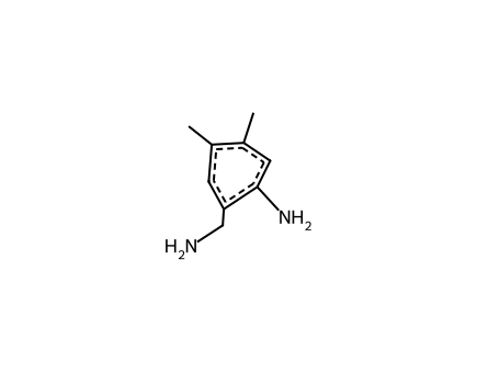 Cc1cc(N)c(CN)cc1C